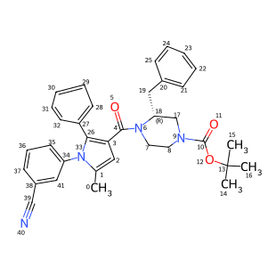 Cc1cc(C(=O)N2CCN(C(=O)OC(C)(C)C)C[C@H]2Cc2ccccc2)c(-c2ccccc2)n1-c1cccc(C#N)c1